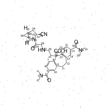 CN(C)C(=O)c1ccc2c(c1)CCc1cc(C(=O)N(C)C)ccc1C2(CCNCC(=O)N1[C@H](C#N)C[C@@H]2C[C@@H]21)C(=O)O